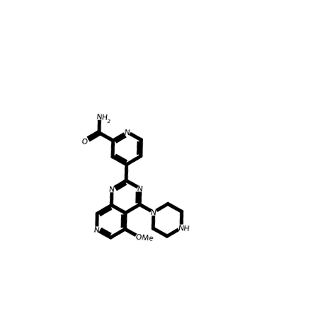 COc1cncc2nc(-c3ccnc(C(N)=O)c3)nc(N3CCNCC3)c12